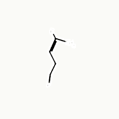 C/C(F)=C\CCF